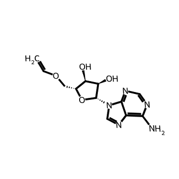 C=COC[C@H]1O[C@@H](n2cnc3c(N)ncnc32)[C@H](O)[C@@H]1O